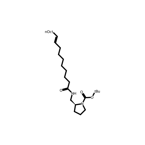 CCCCCCCCC=CCCCCCCCC(=O)NC[C@@H]1CCCN1C(=O)OC(C)(C)C